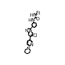 CCNC(=O)Nc1cccc(-c2cnc3cc(-c4ccc(N5CCCCC5)nc4)ccn23)c1.Cl